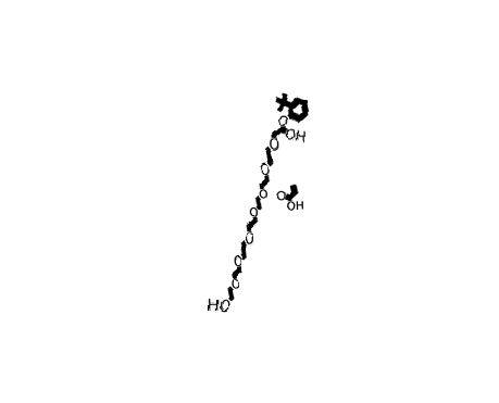 C=CC(=O)O.CC(C)(C)c1ccccc1OC(O)COCCOCCOCCOCCOCCOCCOCCO